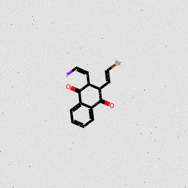 O=C1c2ccccc2C(=O)C(/C=C/Br)C1/C=C\I